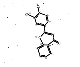 O=c1cc(-c2ccc(Cl)c(Cl)c2)oc2ccccc12